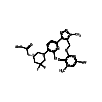 CCCc1cn(C)c(=O)c(OCc2c(-c3ccc(N4C[C@@H](CC(=O)OC)CC(F)(F)C4)c(CC)n3)nnn2C)n1